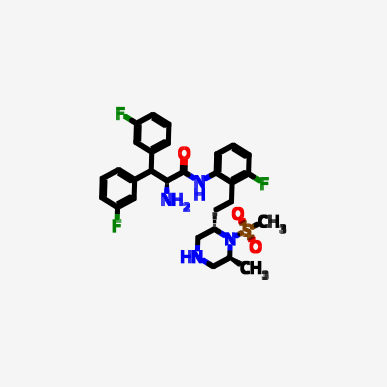 C[C@H]1CNC[C@H](CCc2c(F)cccc2NC(=O)[C@@H](N)C(c2cccc(F)c2)c2cccc(F)c2)N1S(C)(=O)=O